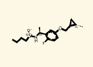 CCCC[S@+]([O-])N[C@@H](C)c1cc(OCC2C[C@@H]2C)ccc1F